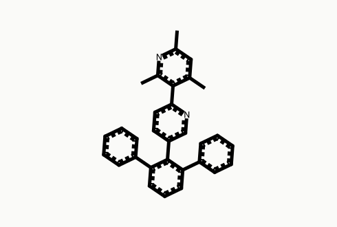 Cc1cc(C)c(-c2ccc(-c3c(-c4ccccc4)cccc3-c3ccccc3)cn2)c(C)n1